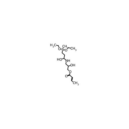 CC=CC(=O)OCC(O)CNC(O)CC[Si](C)(OCC)OCC